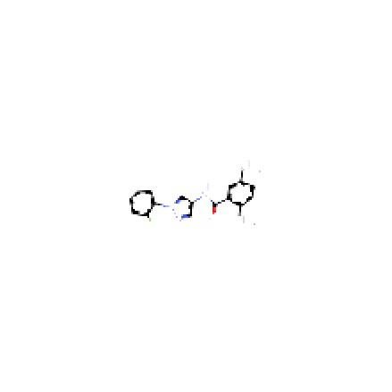 Cc1ccc(C)c(C(=O)Nc2cnn(-c3ccccc3F)c2)c1